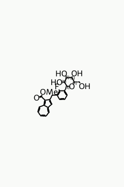 COC(=O)c1c(Cc2cccc([C@@H]3O[C@H](CO)[C@@H](O)[C@H](O)[C@@H]3O)c2F)cc2cccccc1-2